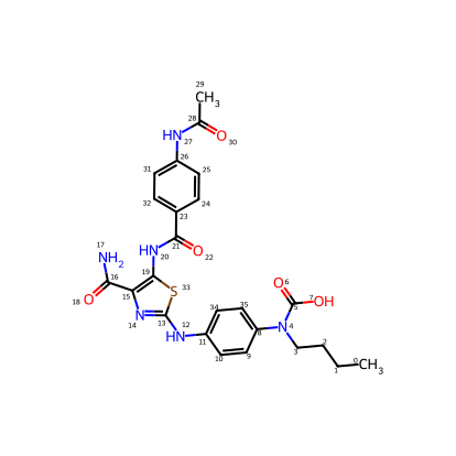 CCCCN(C(=O)O)c1ccc(Nc2nc(C(N)=O)c(NC(=O)c3ccc(NC(C)=O)cc3)s2)cc1